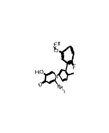 CCOc1ccc(F)c(-c2cc(-n3cc(O)c(=O)cc3N)ccc2C)c1